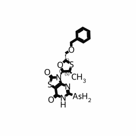 C[C@@H]1S[C@@H](COCc2ccccc2)O[C@@H]1n1c(=O)sc2c(=O)[nH]c([AsH2])nc21